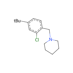 CC(C)(C)c1ccc(CN2CCCCC2)c(Cl)c1